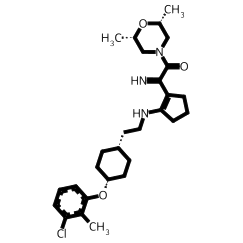 Cc1c(Cl)cccc1O[C@H]1CC[C@@H](CCNC2=C(C(=N)C(=O)N3C[C@@H](C)O[C@@H](C)C3)CCC2)CC1